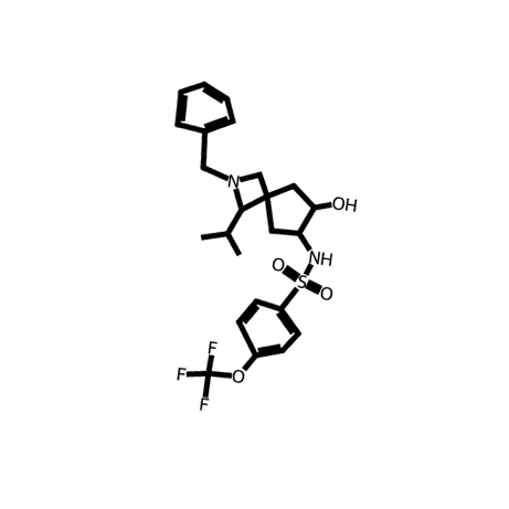 CC(C)C1N(Cc2ccccc2)CC12CC(O)C(NS(=O)(=O)c1ccc(OC(F)(F)F)cc1)C2